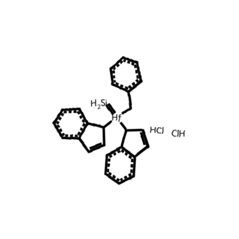 Cl.Cl.[SiH2]=[Hf]([CH2]c1ccccc1)([CH]1C=Cc2ccccc21)[CH]1C=Cc2ccccc21